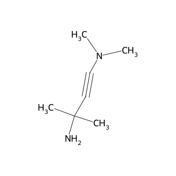 CN(C)C#CC(C)(C)N